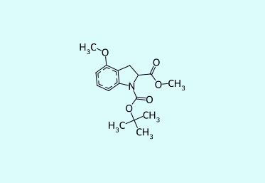 COC(=O)C1Cc2c(OC)cccc2N1C(=O)OC(C)(C)C